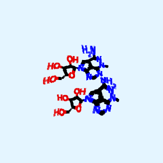 CN1N=C(N)c2cn([C@@H]3O[C@H](CO)[C@@H](O)[C@H]3O)c3ncnc1c23.CN1N=C(N)c2cn([C@@H]3O[C@H](CO)[C@@H](O)[C@H]3O)c3ncnc1c23